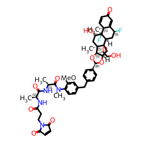 COc1cc(Cc2ccc([C@@H]3O[C@@H]4CC5[C@@H]6C[C@H](F)C7=CC(=O)C=C[C@]7(C)[C@@]6(F)[C@@H](O)C[C@]5(C)[C@]4(C(=O)CO)O3)cc2)ccc1N(C)C(=O)[C@H](C)NC(=O)[C@H](C)NC(=O)CCN1C(=O)C=CC1=O